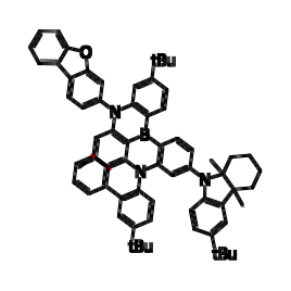 Cc1cc2c3c(c1)N(c1ccc(C(C)(C)C)cc1-c1ccccc1)c1cc(N4c5ccc(C(C)(C)C)cc5C5(C)CCCCC45C)ccc1B3c1ccc(C(C)(C)C)cc1N2c1ccc2c(c1)oc1ccccc12